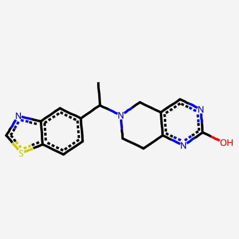 CC(c1ccc2scnc2c1)N1CCc2nc(O)ncc2C1